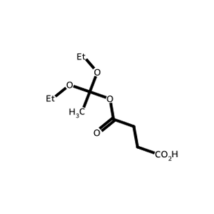 CCOC(C)(OCC)OC(=O)CCC(=O)O